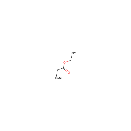 CCCCOC(=O)COC